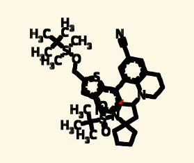 CC(C)(C)[Si](C)(C)OCc1cc2nccc(-c3cc(C#N)cc4c3N(C3CN(S(=O)(=O)C(C)(C)C)C5(CCCC5)C3)CCC4)c2s1